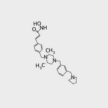 C[C@@H]1CN(Cc2cccc(CN3CCCC3)c2)C[C@H](C)N1Cc1ccc(C=CC(=O)NO)cc1